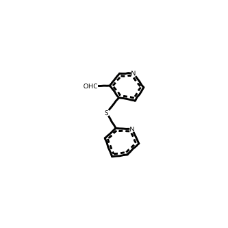 O=Cc1cnccc1Sc1ccccn1